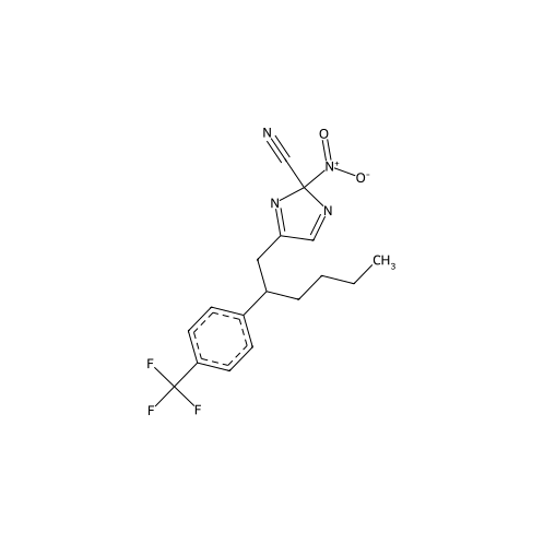 CCCCC(CC1=NC(C#N)([N+](=O)[O-])N=C1)c1ccc(C(F)(F)F)cc1